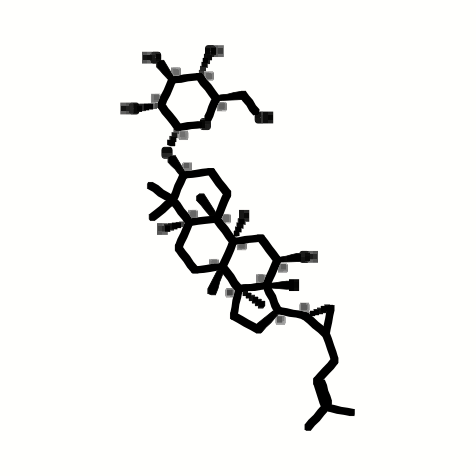 CC(C)=CCC1C[C@H]1[C@H]1CC[C@]2(C)[C@@H]1[C@H](O)C[C@@H]1[C@@]3(C)CC[C@H](O[C@H]4O[C@H](CO)[C@@H](O)[C@H](O)[C@H]4O)C(C)(C)[C@@H]3CC[C@]12C